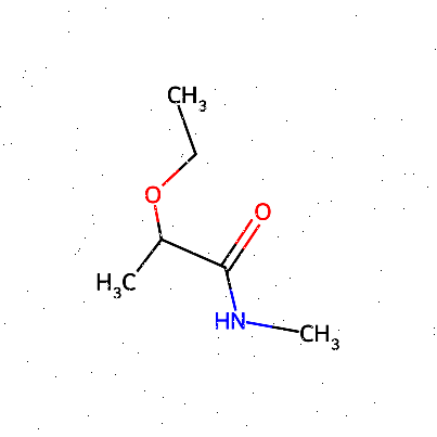 CCOC(C)C(=O)NC